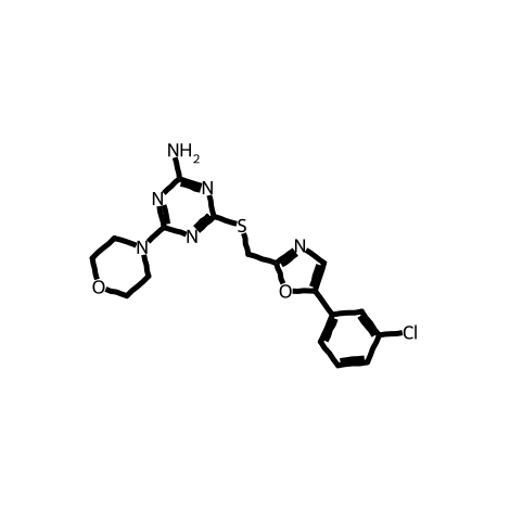 Nc1nc(SCc2ncc(-c3cccc(Cl)c3)o2)nc(N2CCOCC2)n1